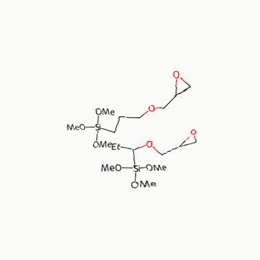 CCC(OCC1CO1)[Si](OC)(OC)OC.CO[Si](CCCOCC1CO1)(OC)OC